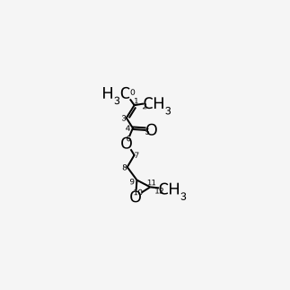 CC(C)=CC(=O)OCCC1OC1C